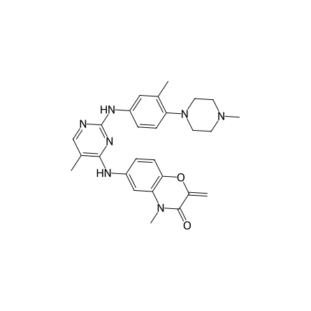 C=C1Oc2ccc(Nc3nc(Nc4ccc(N5CCN(C)CC5)c(C)c4)ncc3C)cc2N(C)C1=O